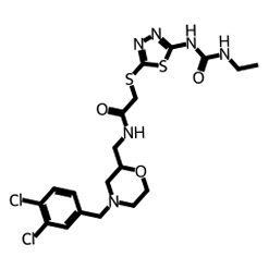 CCNC(=O)Nc1nnc(SCC(=O)NCC2CN(Cc3ccc(Cl)c(Cl)c3)CCO2)s1